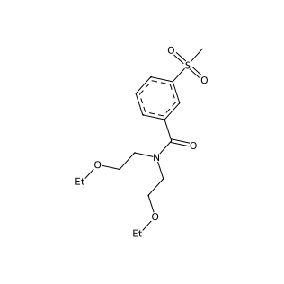 CCOCCN(CCOCC)C(=O)c1cccc(S(C)(=O)=O)c1